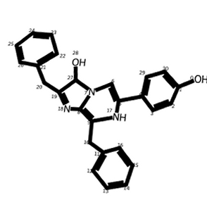 Oc1ccc(C2=CN3C(=C(Cc4ccccc4)N2)N=C(Cc2ccccc2)C3O)cc1